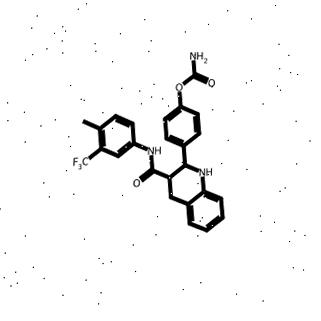 Cc1ccc(NC(=O)C2Cc3ccccc3NC2c2ccc(OC(N)=O)cc2)cc1C(F)(F)F